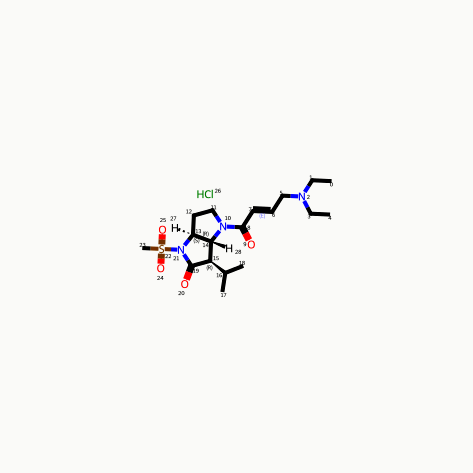 CCN(CC)C/C=C/C(=O)N1CC[C@H]2[C@H]1[C@@H](C(C)C)C(=O)N2S(C)(=O)=O.Cl